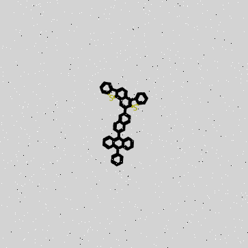 c1ccc(-c2c3ccccc3c(-c3ccc4cc(-c5cc6c(ccc7c8ccccc8sc76)c6c5sc5ccccc56)ccc4c3)c3ccccc23)cc1